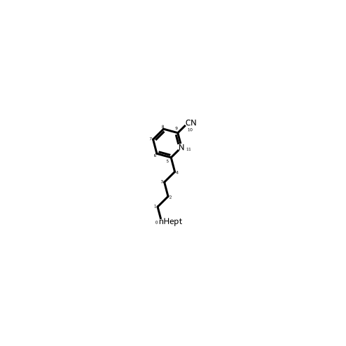 CCCCCCCCCCCc1cccc(C#N)n1